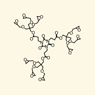 O=C(CCn1c(=O)n(CCC(=O)OCC(COCC2CO2)(COCC2CO2)COCC2CO2)c(=O)n(CCC(=O)OCC(COCC2CO2)(COCC2CO2)COCC2CO2)c1=O)OCC(COCC1CO1)(COCC1CO1)COCC1CO1